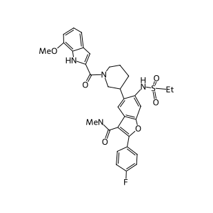 CCS(=O)(=O)Nc1cc2oc(-c3ccc(F)cc3)c(C(=O)NC)c2cc1C1CCCN(C(=O)c2cc3cccc(OC)c3[nH]2)C1